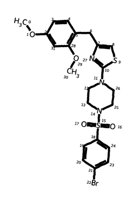 COc1ccc(Cc2csc(N3CCN(S(=O)(=O)c4ccc(Br)cc4)CC3)n2)c(OC)c1